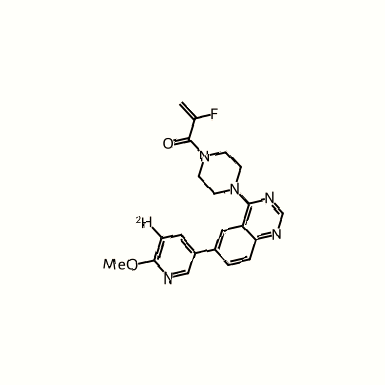 [2H]c1cc(-c2ccc3ncnc(N4CCN(C(=O)C(=C)F)CC4)c3c2)cnc1OC